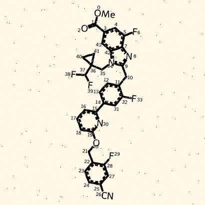 COC(=O)c1cc(F)c2nc(Cc3ccc(-c4cccc(OCc5ccc(C#N)cc5F)n4)cc3F)n(CC3(C(F)F)CC3)c2c1